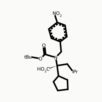 CC(C)C[C@@](C(=O)O)(C1CCCC1)N(Cc1ccc([N+](=O)[O-])cc1)C(=O)OC(C)(C)C